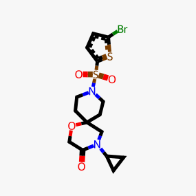 O=C1COC2(CCN(S(=O)(=O)c3ccc(Br)s3)CC2)CN1C1CC1